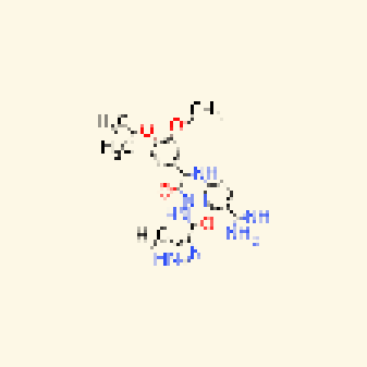 CCOc1cc(C(Nc2ccc(C(=N)N)cc2)C(=O)NNC(=O)c2nc[nH]c2C)ccc1OC(C)C